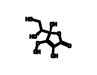 O=C1O[C@](O)([C@@H](O)CO)C(OO)=C1O